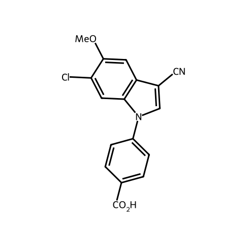 COc1cc2c(C#N)cn(-c3ccc(C(=O)O)cc3)c2cc1Cl